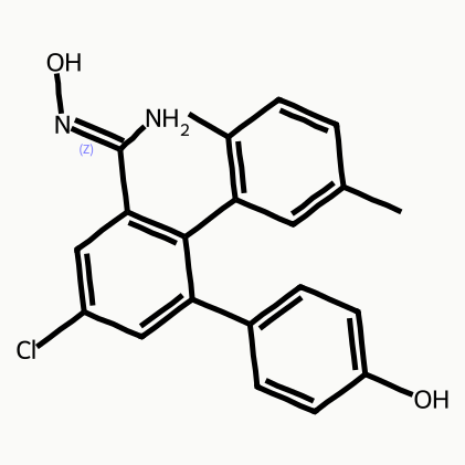 Cc1ccc(C)c(-c2c(/C(N)=N/O)cc(Cl)cc2-c2ccc(O)cc2)c1